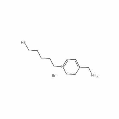 NCc1cc[n+](CCCCCS)cc1.[Br-]